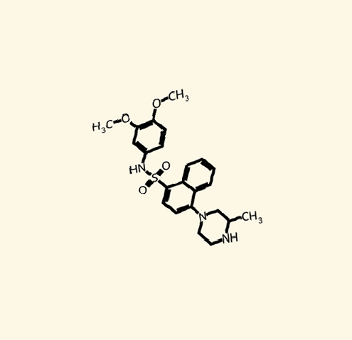 COc1ccc(NS(=O)(=O)c2ccc(N3CCNC(C)C3)c3ccccc23)cc1OC